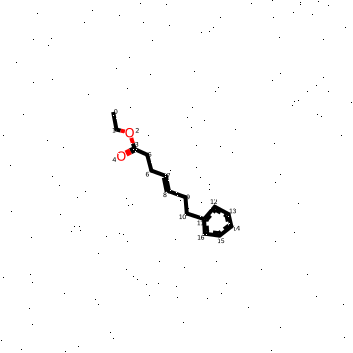 CCOC(=O)CCC=CCCc1ccccc1